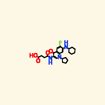 O=C(O)CCC(=O)Nc1cn(C2CCCC2)c2cc(NC3CCCCC3)c(F)cc2c1=O